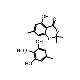 Cc1cc(O)c(C(=O)O)c(O)c1.Cc1cc(O)c2c(c1)OC(C)(C)OC2=O